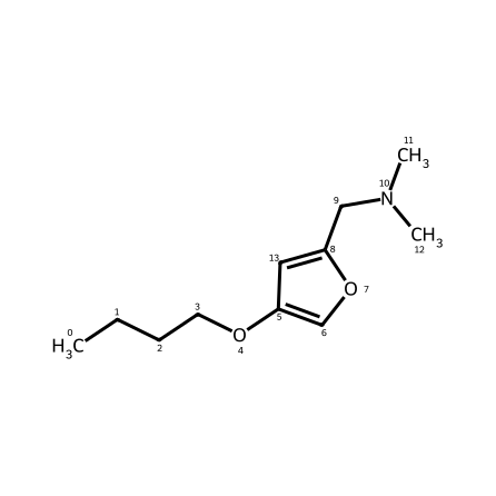 CCCCOc1coc(CN(C)C)c1